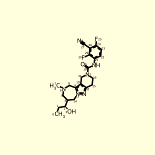 CC[C@H](O)C1CN(C)Cc2c3c(nn2C1)CCN(C(=O)Nc1ccc(F)c(C#N)c1F)C3